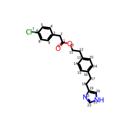 O=C(Cc1ccc(Cl)cc1)OCCc1ccc(CCc2c[nH]cn2)cc1